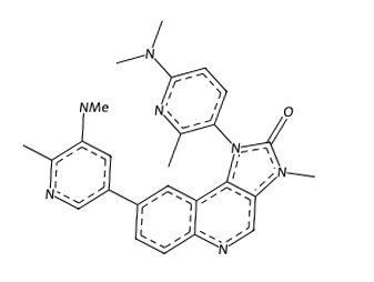 CNc1cc(-c2ccc3ncc4c(c3c2)n(-c2ccc(N(C)C)nc2C)c(=O)n4C)cnc1C